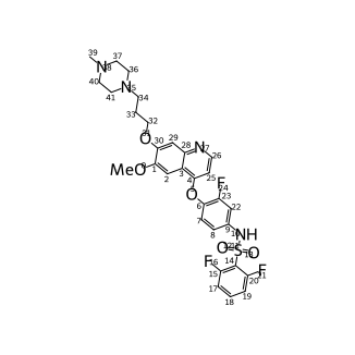 COc1cc2c(Oc3ccc(NS(=O)(=O)c4c(F)cccc4F)cc3F)ccnc2cc1OCCCN1CCN(C)CC1